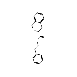 O=C(NCCc1ccccc1)[C@H]1Cc2ccccc2CN1